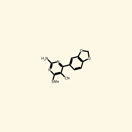 CSc1nc(N)nc(-c2ccc3c(c2)OCO3)c1C#N